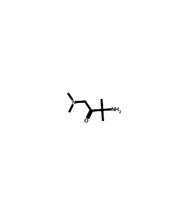 CN(C)CC(=O)C(C)(C)N